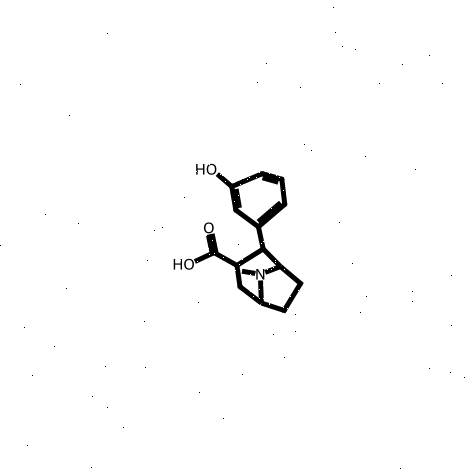 CN1C2CCC1C(c1cccc(O)c1)C(C(=O)O)C2